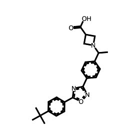 CC(c1ccc(-c2noc(-c3ccc(C(C)(C)C)cc3)n2)cc1)N1CC(C(=O)O)C1